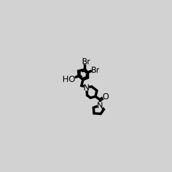 O=C(C1CCN(Cc2cc(Br)c(Br)cc2O)CC1)N1CCCC1